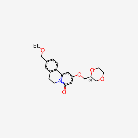 CCOCc1ccc2c(c1)CCn1c-2cc(OC[C@@H]2COCCO2)cc1=O